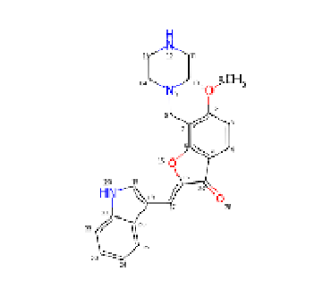 COc1ccc2c(c1CN1CCNCC1)OC(=Cc1c[nH]c3ccccc13)C2=O